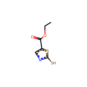 CCOC(=O)c1cnc(S)s1